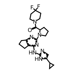 O=C(C1CCCN1c1nc2c(c(Nc3ncc(C4CC4)[nH]3)n1)CCC2)N1CCC(F)(F)CC1